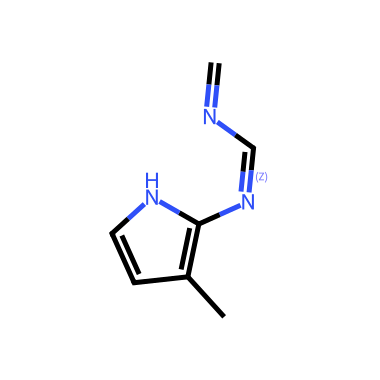 C=N/C=N\c1[nH]ccc1C